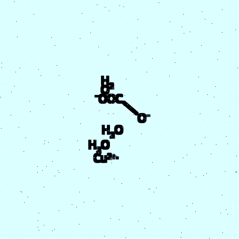 O.O.O.O=C([O-])[O-].[Cu+2]